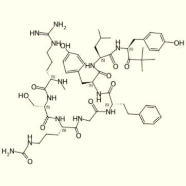 CN[C@@H](CCCNC(=N)N)C(=O)N[C@@H](CO)C(=O)N[C@@H](CCCNC(N)=O)C(=O)NCC(=O)N[C@@H](CCc1ccccc1)C(=O)N[C@@H](Cc1ccc(O)cc1)C(=O)N[C@@H](CC(C)C)C(=O)N[C@@H](Cc1ccc(O)cc1)C(=O)C(C)(C)C